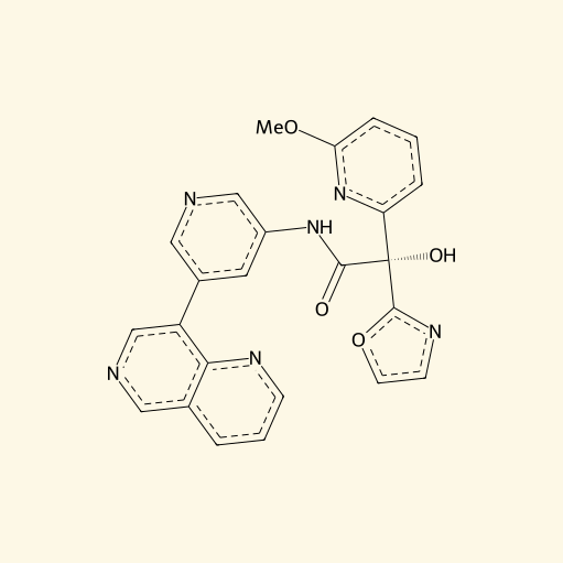 COc1cccc([C@](O)(C(=O)Nc2cncc(-c3cncc4cccnc34)c2)c2ncco2)n1